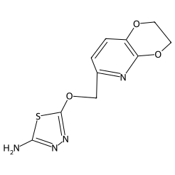 Nc1nnc(OCc2ccc3c(n2)OCCO3)s1